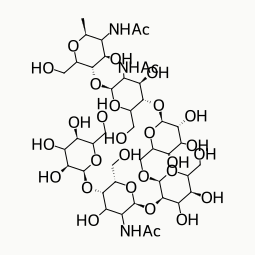 CC(=O)NC1C(O)[C@H](O[C@@H]2OC(CO)[C@H](O)C(O)[C@@H]2O)[C@H](CO)O[C@H]1O[C@@H]1C(O)[C@H](O)C(CO)O[C@@H]1OCC1O[C@@H](O[C@@H]2C(CO)O[C@@H](O[C@@H]3C(CO)O[C@@H](C)C(NC(C)=O)[C@H]3O)C(NC(C)=O)[C@H]2O)[C@H](O)C(O)[C@@H]1O